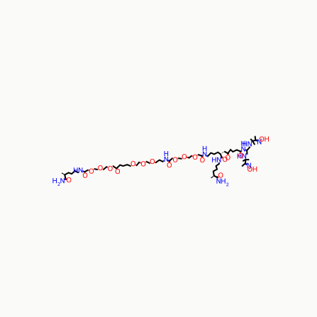 C/C(=N\O)C(C)(C)NCC(CNC(C)(C)/C(C)=N/O)NC(=O)CCCC(=O)C[C@@H](CCCCNC(=O)COCCOCCOCC(=O)NCCCOCCOCCOCCCCC(=O)COCCOCCOCC(=O)NCCCC[C@H](C)C(N)=O)C(=O)NCCCC[C@H](C)C(N)=O